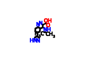 CC(C)Nc1c(C(=O)O)nnc2ccc(-c3cn[nH]c3)cc12